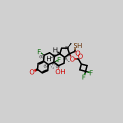 C[C@@H]1C[C@H]2[C@@H]3C[C@H](F)C4=CC(=O)C=C[C@]4(C)[C@@]3(F)[C@@H](O)C[C@]2(C)[C@@]1(OC(=O)C1CC(F)(F)C1)C(=O)S